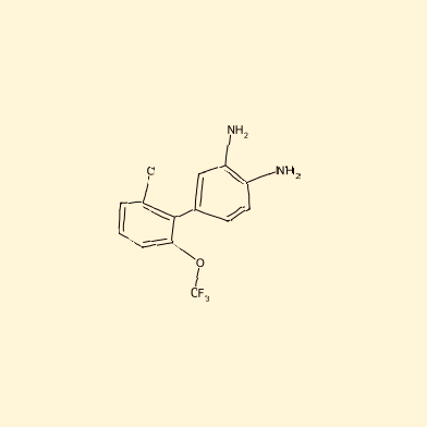 Nc1ccc(-c2c(Cl)cccc2OC(F)(F)F)cc1N